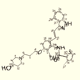 COc1c(OCCCN2CCC(O)CC2)ccc(/C=C/c2n[nH]c3ccccc23)c1NC(=O)c1sccc1C